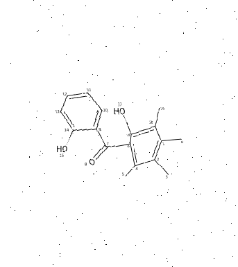 Cc1c(C)c(C)c(C(=O)c2ccccc2O)c(O)c1C